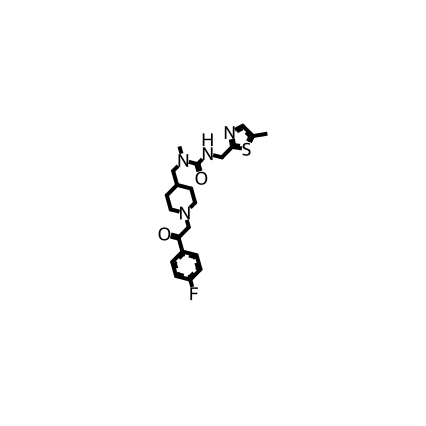 Cc1cnc(CNC(=O)N(C)CC2CCN(CC(=O)c3ccc(F)cc3)CC2)s1